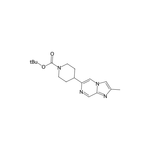 Cc1cn2cc(C3CCN(C(=O)OC(C)(C)C)CC3)ncc2n1